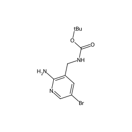 CC(C)(C)OC(=O)NCc1cc(Br)cnc1N